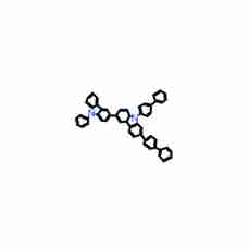 C1=CC2C(C=C1c1ccc3c(c1)c1ccccc1n3-c1ccccc1)c1ccc(-c3ccc(-c4ccccc4)cc3)cc1N2c1ccc(-c2ccccc2)cc1